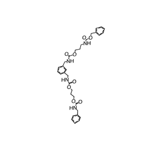 O=C(NCc1cccc(CNC(=O)OCCCOC(=O)NCc2ccccc2)c1)OCCCNC(=O)OCc1ccccc1